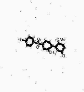 COc1ccc(Cl)cc1-c1ccc(S(=O)(=O)c2ccc(F)cc2)cc1C